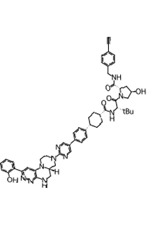 C#Cc1ccc(CNC(=O)[C@@H]2C[C@@H](O)CN2C(=O)[C@@H](NC(=O)[C@H]2CC[C@@H](c3ccc(-c4cnc(N5CCN6c7cc(-c8ccccc8O)nnc7NC[C@H]6C5)nc4)cc3)CC2)C(C)(C)C)cc1